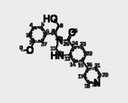 COc1cccc([C@@H](CO)N2CNc3cc(-c4ccncc4)ccc3C2=O)c1